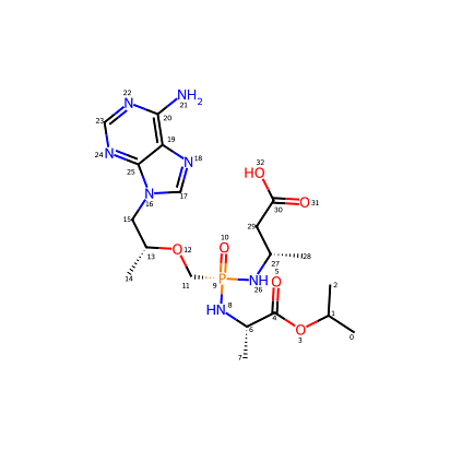 CC(C)OC(=O)[C@H](C)N[P@](=O)(CO[C@H](C)Cn1cnc2c(N)ncnc21)N[C@@H](C)CC(=O)O